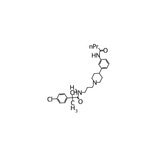 CCCC(=O)Nc1cccc(C2CCN(CCCNC(=O)C(C)(C)c3ccc(Cl)cc3)CC2)c1